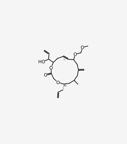 C=CC[C@H]1CC(C)CC(=C)CC(OCOC)/C=C/CC(C(O)C=C)OC(=O)CO1